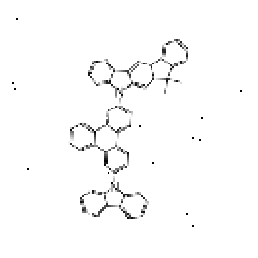 CC1(C)c2ccccc2C2C=c3c(n(-c4ccc5c6ccc(-n7c8ccccc8c8ccccc87)cc6c6ccccc6c5c4)c4ccccc34)=CC21